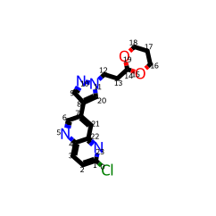 Clc1ccc2ncc(-c3cnn(CCC4OCCCO4)c3)cc2n1